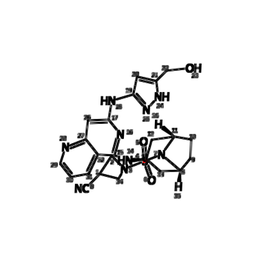 N#CC1CN(S(=O)(=O)N2[C@@H]3CC[C@H]2C[C@H](Nc2nc(Nc4cc(CO)[nH]n4)cc4ncccc24)C3)C1